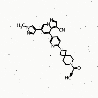 C#CC(=O)N1CCC2(CC1)CN(c1ccc(-c3cc(-c4cnn(C)c4)cn4ncc(C#N)c34)cn1)C2